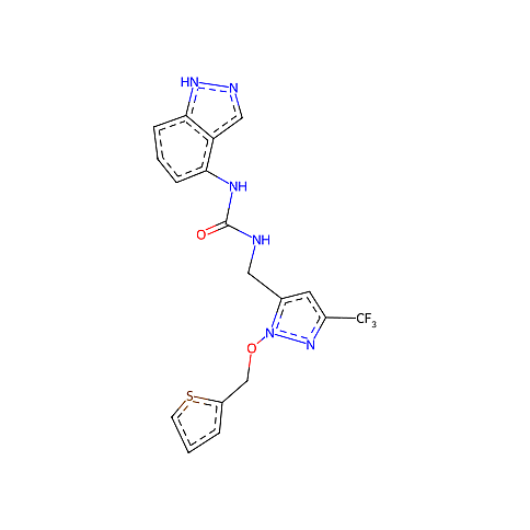 O=C(NCc1cc(C(F)(F)F)nn1OCc1cccs1)Nc1cccc2[nH]ncc12